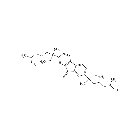 CCC(C)(CCCC(C)C)c1ccc2c(c1)C(=O)c1cc(C(C)(CC)CCCC(C)C)ccc1-2